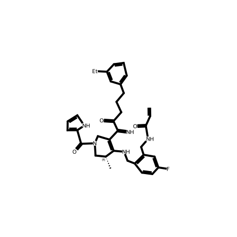 C=CC(=O)NCc1cc(F)ccc1CNC1=C(C(=N)C(=O)CCCc2cccc(CC)c2)CN(C(=O)c2ccc[nH]2)C[C@H]1C